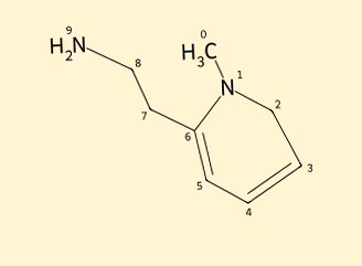 CN1CC=CC=C1CCN